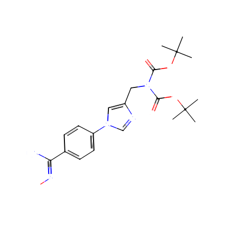 CC(C)(C)OC(=O)N(Cc1cn(-c2ccc(C(N)=NO)cc2)cn1)C(=O)OC(C)(C)C